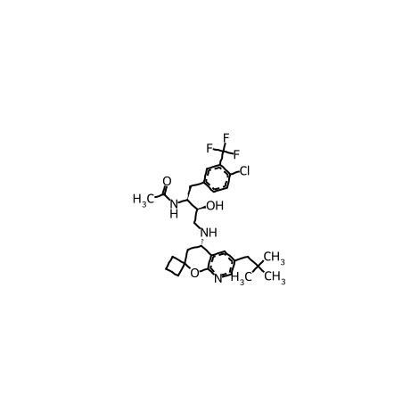 CC(=O)N[C@@H](Cc1ccc(Cl)c(C(F)(F)F)c1)[C@@H](O)CN[C@H]1CC2(CCC2)Oc2ncc(CC(C)(C)C)cc21